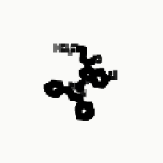 O=C(O)CCC(=O)c1cn(-c2nc(-c3ccccc3)cc(-c3ccccc3)n2)c2ccc(Cl)cc12